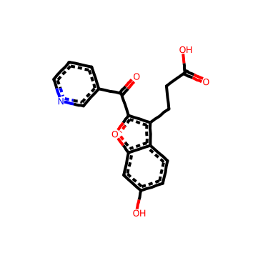 O=C(O)CCc1c(C(=O)c2cccnc2)oc2cc(O)ccc12